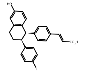 O=C(O)C=Cc1ccc([C@@H]2c3ccc(O)cc3CC[C@@H]2c2ccc(F)cc2)cc1